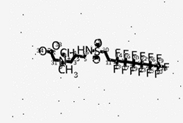 C[N+](C)(CCCNS(=O)(=O)CCC(F)(F)C(F)(F)C(F)(F)C(F)(F)C(F)(F)C(F)(F)F)CC(=O)[O-]